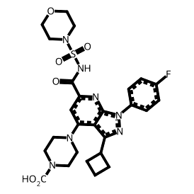 O=C(NS(=O)(=O)N1CCOCC1)c1cc(N2CCN(C(=O)O)CC2)c2c(C3CCC3)nn(-c3ccc(F)cc3)c2n1